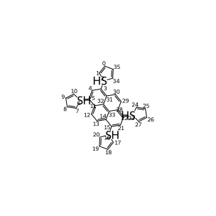 C1=C[SH](c2cc([SH]3C=CC=C3)c3ccc4c([SH]5C=CC=C5)cc([SH]5C=CC=C5)c5ccc2c3c54)C=C1